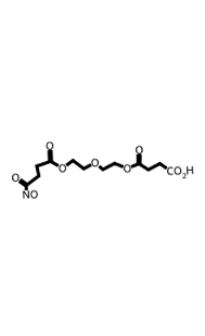 O=NC(=O)CCC(=O)OCCOCCOC(=O)CCC(=O)O